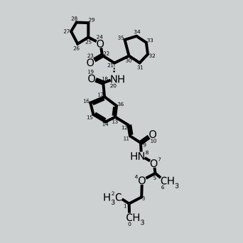 CC(C)COC(C)ONC(=O)/C=C/c1cccc(C(=O)N[C@H](C(=O)OC2CCCC2)C2CCCCC2)c1